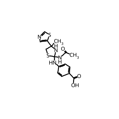 CC(=O)NC1(Nc2ccc(C(=O)O)cc2)NC(C)(c2cncs2)CS1